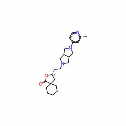 Cc1cc(N2CC3CN(CC[C@@H]4CC5(CCCCC5)C(=O)O4)CC3C2)ccn1